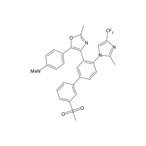 CNc1ccc(-c2oc(C)nc2-c2cc(-c3cccc(S(C)(=O)=O)c3)ccc2-n2cc(C(F)(F)F)nc2C)cc1